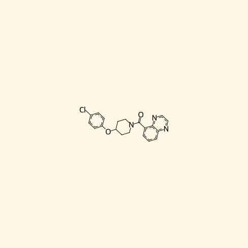 O=C(c1cccc2nccnc12)N1CCC(Oc2ccc(Cl)cc2)CC1